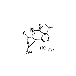 CN(C)c1cccc2c1c(=O)[nH]c1c(F)cc(O)cc12.Cl.Cl